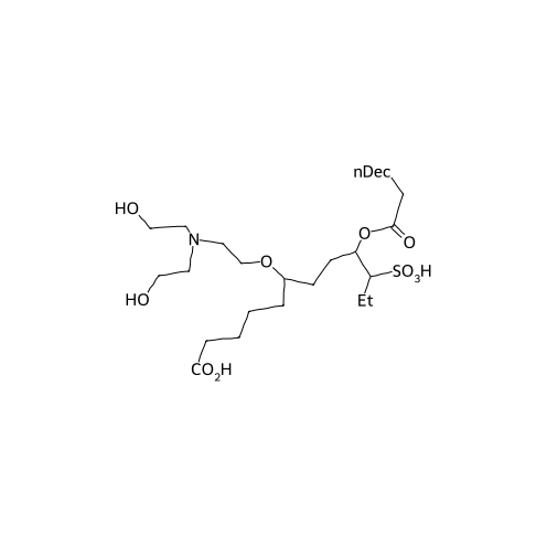 CCCCCCCCCCCC(=O)OC(CCC(CCCCC(=O)O)OCCN(CCO)CCO)C(CC)S(=O)(=O)O